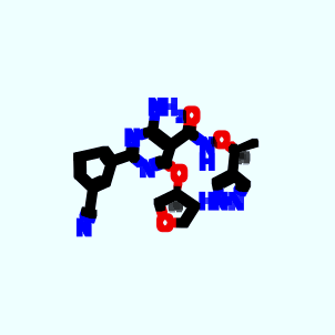 C[C@H](ONC(=O)c1c(N)nc(-c2cccc(C#N)c2)nc1O[C@H]1CCOC1)c1cn[nH]c1